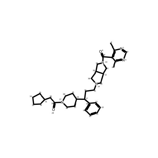 Cc1ncnc(C)c1C(=O)N1CC2CN(CCC(c3ccccc3)C3CCN(C(=O)CC4CCCC4)CC3)CC2C1